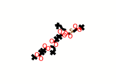 CC(C)(C)CC(COC(=O)SCC(=O)OC(C)(C)C)OC(=O)C(C)(C)C(C)(C)C(=O)OC(COC(=O)C(C)(C)C(C)(C)C(=O)OC(C)(C)C)CC(C)(C)C